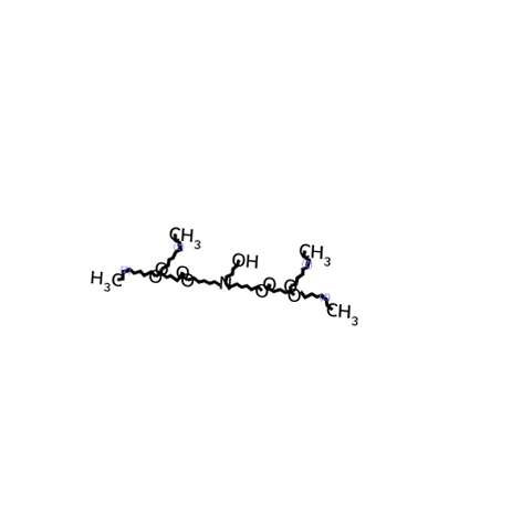 CC/C=C\CCCCOC(CCCC(=O)OCCCCCCN(CCCCO)CCCCCCOC(=O)CCCC(OCCCC/C=C\CC)OCCCC/C=C\CC)OCCCC/C=C\CC